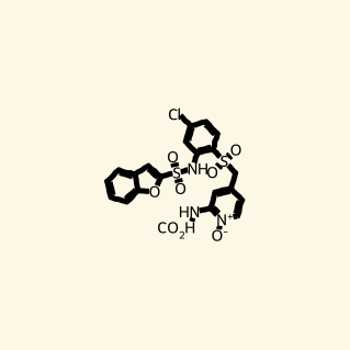 O=C(O)Nc1cc(CS(=O)(=O)c2ccc(Cl)cc2NS(=O)(=O)c2cc3ccccc3o2)cc[n+]1[O-]